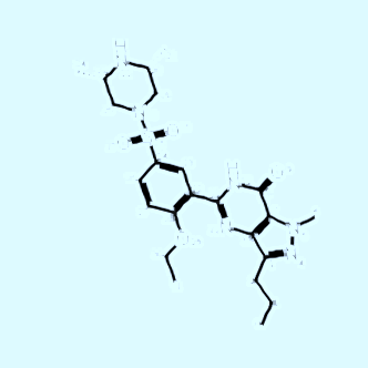 CCCc1nn(C)c2c(=O)[nH]c(-c3cc(S(=O)(=O)N4C[C@@H](C)N[C@@H](C)C4)ccc3OCC)nc12